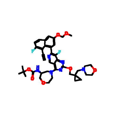 C#Cc1c(F)ccc2cc(OCOC)cc(-c3ncc4c(N5CCOC[C@@H](NC(=O)OC(C)(C)C)C5)nc(OCC5(CN6CCOCC6)CC5)nc4c3F)c12